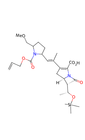 C=CCOC(=O)N1C(C=C(C)C2=C(C(=O)O)N3C(=O)[C@H]([C@@H](C)O[Si](C)(C)C)[C@H]3C2)CCC1COC